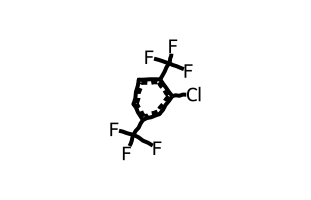 FC(F)(F)c1ccc(C(F)(F)F)c(Cl)c1